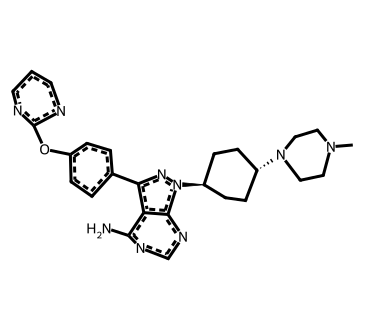 CN1CCN([C@H]2CC[C@H](n3nc(-c4ccc(Oc5ncccn5)cc4)c4c(N)ncnc43)CC2)CC1